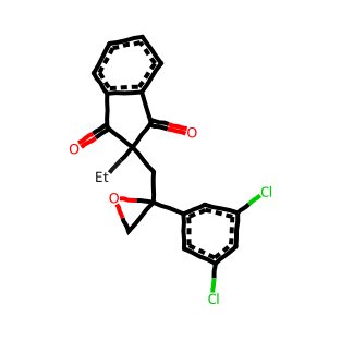 CCC1(CC2(c3cc(Cl)cc(Cl)c3)CO2)C(=O)c2ccccc2C1=O